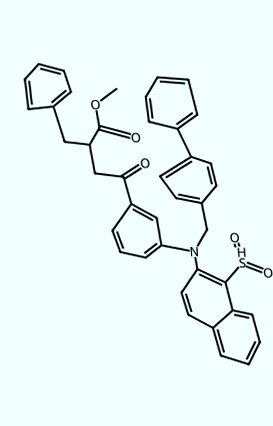 COC(=O)C(CC(=O)c1cccc(N(Cc2ccc(-c3ccccc3)cc2)c2ccc3ccccc3c2[SH](=O)=O)c1)Cc1ccccc1